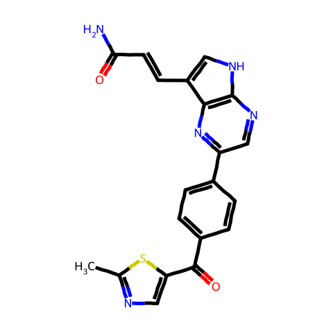 Cc1ncc(C(=O)c2ccc(-c3cnc4[nH]cc(C=CC(N)=O)c4n3)cc2)s1